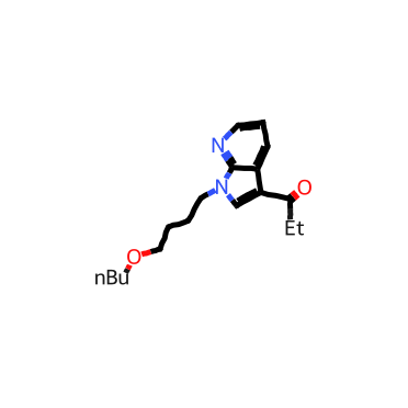 CCCCOCCCCn1cc(C(=O)CC)c2cccnc21